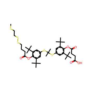 CSCCSSCCCC(=O)Oc1c(C(C)(C)C)cc(SC(C)(C)Sc2cc(C(C)(C)C)c(OC(=O)CCC(=O)O)c(C(C)(C)C)c2)cc1C(C)(C)C